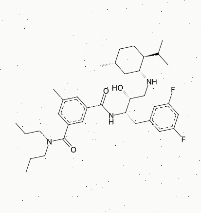 CCCN(CCC)C(=O)c1cc(C)cc(C(=O)N[C@@H](Cc2cc(F)cc(F)c2)[C@H](O)CN[C@@H]2C[C@H](C)CC[C@H]2C(C)C)c1